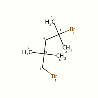 CC(C)(Br)CC(C)(C)CBr